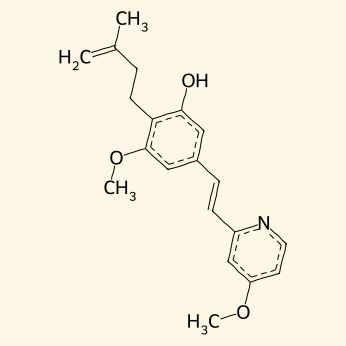 C=C(C)CCc1c(O)cc(C=Cc2cc(OC)ccn2)cc1OC